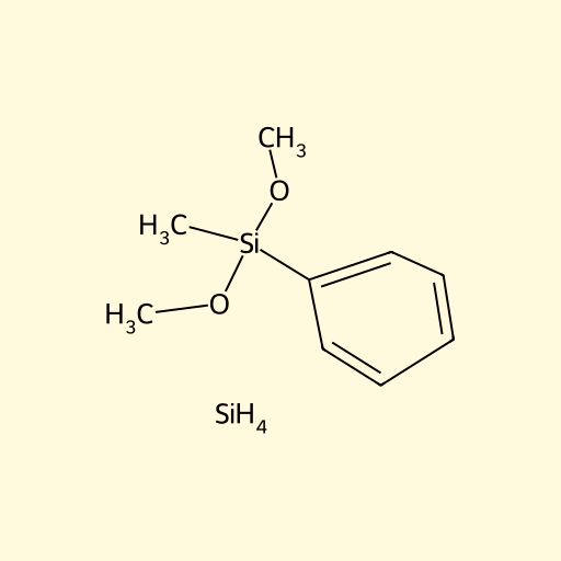 CO[Si](C)(OC)c1ccccc1.[SiH4]